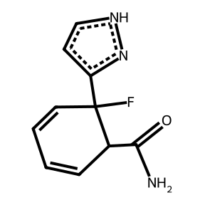 NC(=O)C1C=CC=CC1(F)c1cc[nH]n1